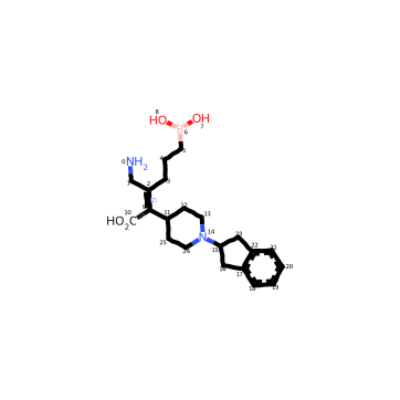 NC/C(CCCB(O)O)=C(\C(=O)O)C1CCN(C2Cc3ccccc3C2)CC1